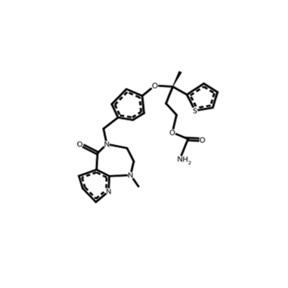 CN1CCN(Cc2ccc(O[C@@](C)(CCOC(N)=O)c3cccs3)cc2)C(=O)c2cccnc21